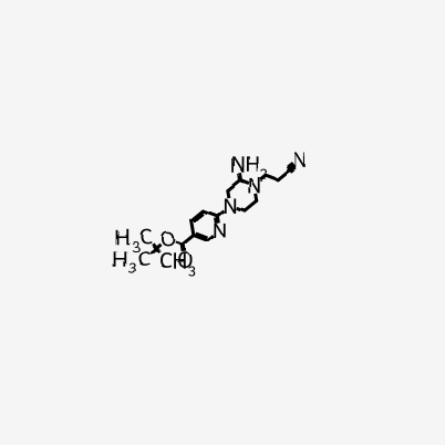 CC(C)(C)OC(=O)c1ccc(N2CCN(CCC#N)C(N)C2)nc1